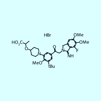 Br.COc1cc2c(c(F)c1OC)C(=N)N(CC(=O)c1cc(N3CCC(OC(C)C(=O)O)CC3)c(OC)c(C(C)(C)C)c1)C2